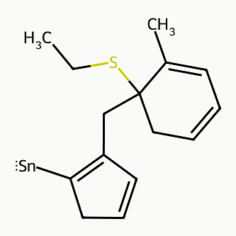 CCSC1(CC2=[C]([Sn])CC=C2)CC=CC=C1C